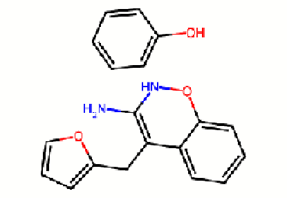 NC1=C(Cc2ccco2)c2ccccc2ON1.Oc1ccccc1